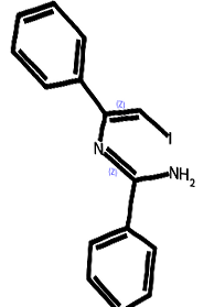 N/C(=N\C(=C/I)c1ccccc1)c1ccccc1